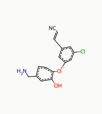 N#C/C=C/c1cc(Cl)cc(Oc2ccc(CN)cc2O)c1